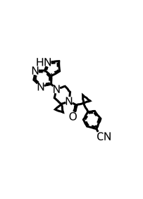 N#Cc1ccc(C2(C(=O)N3CCN(c4ncnc5[nH]ccc45)CC34CC4)CC2)cc1